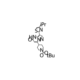 CC(C)c1csc(-c2cnn3c(C4CCN(C(=O)OC(C)(C)C)CC4)cc(=O)[nH]c23)n1